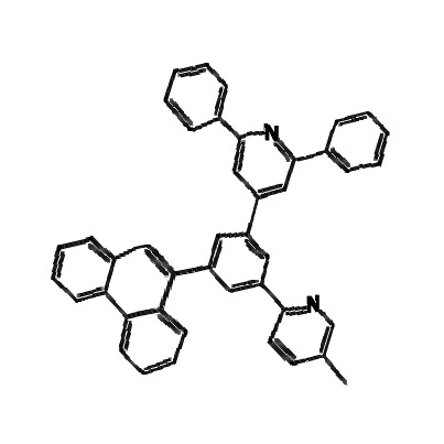 Cc1ccc(-c2cc(-c3cc(-c4ccccc4)nc(-c4ccccc4)c3)cc(-c3cc4ccccc4c4ccccc34)c2)nc1